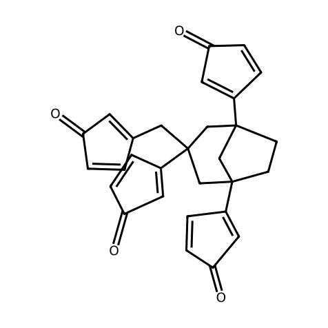 O=C1C=CC(CC2(C3=CC(=O)C=C3)CC3(C4=CC(=O)C=C4)CCC(C4=CC(=O)C=C4)(C3)C2)=C1